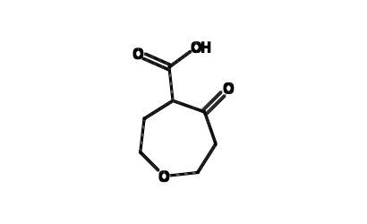 O=C(O)C1CCOCCC1=O